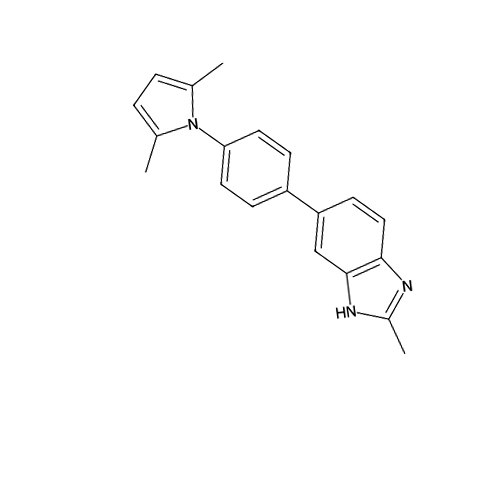 Cc1nc2ccc(-c3ccc(-n4c(C)ccc4C)cc3)cc2[nH]1